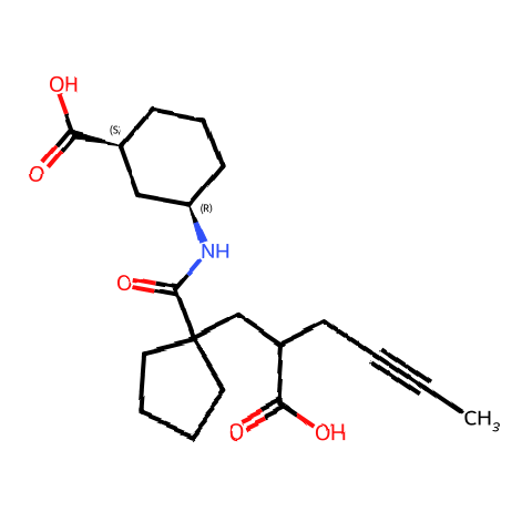 CC#CCC(CC1(C(=O)N[C@@H]2CCC[C@H](C(=O)O)C2)CCCC1)C(=O)O